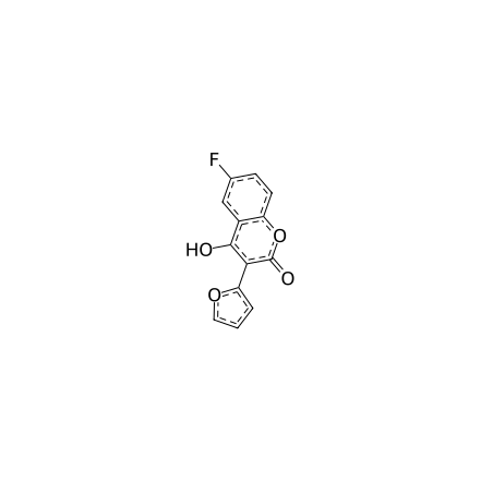 O=c1oc2ccc(F)cc2c(O)c1-c1ccco1